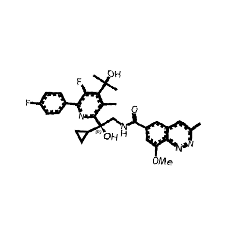 COc1cc(C(=O)NC[C@@](O)(c2nc(-c3ccc(F)cc3)c(F)c(C(C)(C)O)c2C)C2CC2)cc2cc(C)nnc12